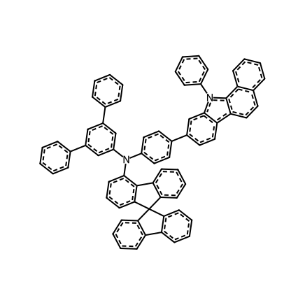 c1ccc(-c2cc(-c3ccccc3)cc(N(c3ccc(-c4ccc5c6ccc7ccccc7c6n(-c6ccccc6)c5c4)cc3)c3cccc4c3-c3ccccc3C43c4ccccc4-c4ccccc43)c2)cc1